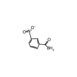 BC(=O)c1cccc([N+](=O)[O-])c1